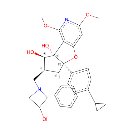 COc1cc2c(c(OC)n1)[C@]1(O)[C@H](O)[C@H](CN3CC(O)C3)[C@@H](c3ccccc3)[C@]1(c1ccc(C3CC3)cc1)O2